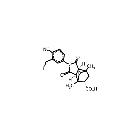 CC12C[C@H](C(=O)O)C(C)(O1)[C@H]1C(=O)N(c3ccc(C#N)c(CF)c3)C(=O)[C@H]12